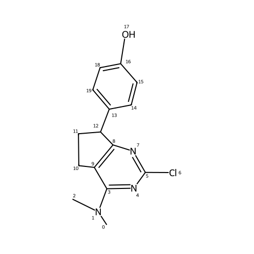 CN(C)c1nc(Cl)nc2c1CCC2c1ccc(O)cc1